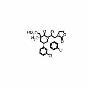 CC[C@@H](CN1CCOC1=O)N1C(=O)[C@](C)(CC(=O)O)C[C@H](c2cccc(Cl)c2)[C@H]1c1ccc(Cl)cc1